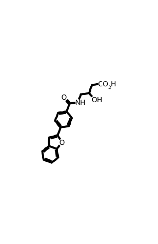 O=C(O)CC(O)CNC(=O)c1ccc(-c2cc3ccccc3o2)cc1